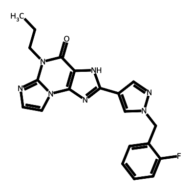 CCCn1c(=O)c2[nH]c(-c3cnn(Cc4ccccc4F)c3)nc2n2ccnc12